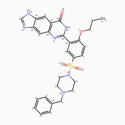 CCCOc1ccc(S(=O)(=O)N2CCN(Cc3ccccc3)CC2)cc1-c1nc2cc3nc[nH]c3cc2c(=O)[nH]1